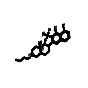 CCCC[C@@H]1CC[C@@H]2CC(c3cc4cccc(F)c4c(F)c3C(F)(F)F)CCC2C1